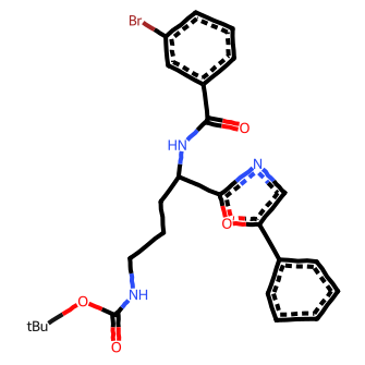 CC(C)(C)OC(=O)NCCCC(NC(=O)c1cccc(Br)c1)c1ncc(-c2ccccc2)o1